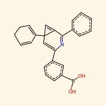 OB(O)c1cccc(C2=CC3(C4=CCCC=C4)C=C3C(c3ccccc3)=N2)c1